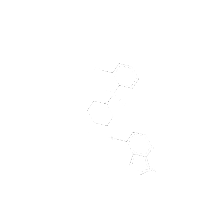 C[C@@H]1CCN(S(=O)(=O)c2ccccc2C(F)(F)F)C[C@@H]1Nc1ccnc2[nH]ccc12